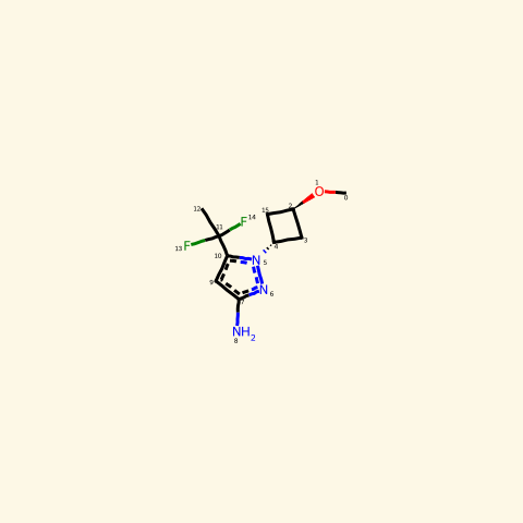 CO[C@H]1C[C@H](n2nc(N)cc2C(C)(F)F)C1